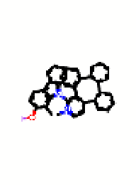 Cc1c(OI)ccc2c3ccccc3n(-c3c4c(cc[n+]3C)-c3ccccc3-c3ccccc3-c3ccccc3-4)c12